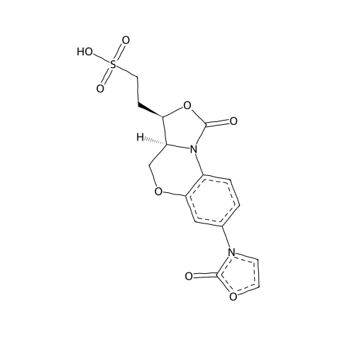 O=C1O[C@H](CCS(=O)(=O)O)[C@@H]2COc3cc(-n4ccoc4=O)ccc3N12